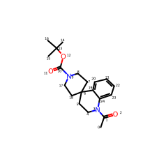 CC(=O)N1CCC2(CCN(C(=O)OC(C)(C)C)CC2)c2ccccc21